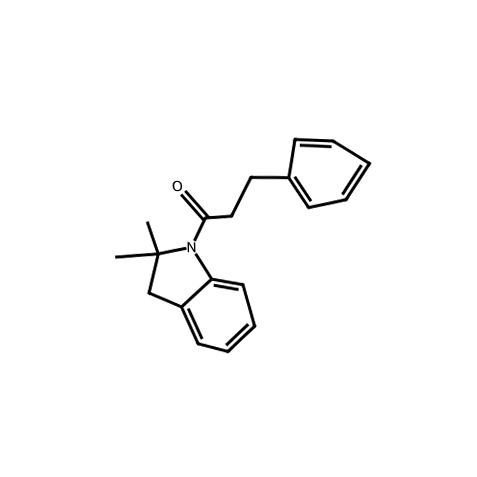 CC1(C)Cc2ccccc2N1C(=O)CCc1ccccc1